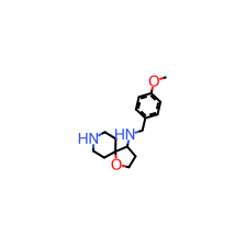 COc1ccc(CNC2CCOC23CCNCC3)cc1